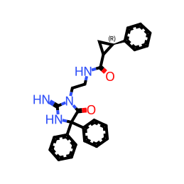 N=C1NC(c2ccccc2)(c2ccccc2)C(=O)N1CCNC(=O)C1C[C@H]1c1ccccc1